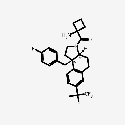 CC(F)(c1ccc2c(c1)CC[C@H]1N(C(=O)C3(N)CCC3)CC[C@@]21Cc1ccc(F)cc1)C(F)(F)F